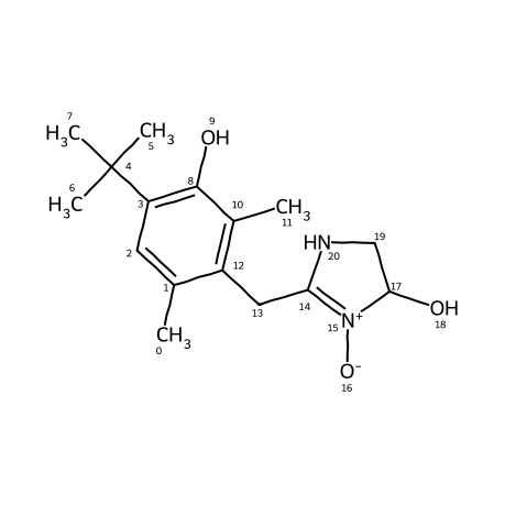 Cc1cc(C(C)(C)C)c(O)c(C)c1CC1=[N+]([O-])C(O)CN1